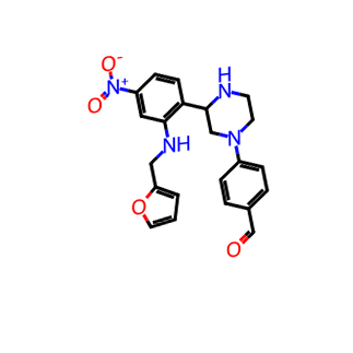 O=Cc1ccc(N2CCNC(c3ccc([N+](=O)[O-])cc3NCc3ccco3)C2)cc1